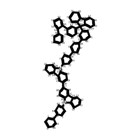 c1ccc(-c2ccc(-n3c4ccccc4c4cc(-c5ccc6c(c5)c5ccccc5n6-c5ccc(-c6ccc(-c7cccc(C8(c9cccc(-c%10ccccc%10-c%10ccccc%10)c9)c9ccccc9-c9ccccc98)c7)cc6)cc5)ccc43)cc2)cc1